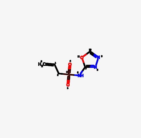 C=CCS(=O)(=O)Nc1nn[c]o1